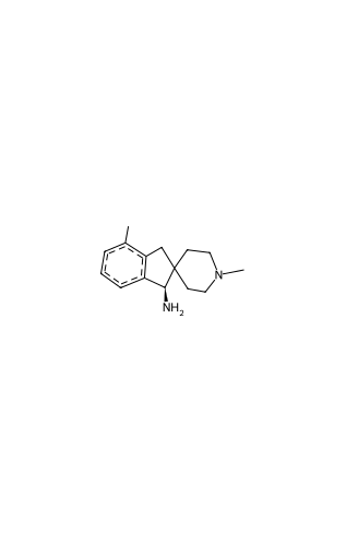 Cc1cccc2c1CC1(CCN(C)CC1)[C@H]2N